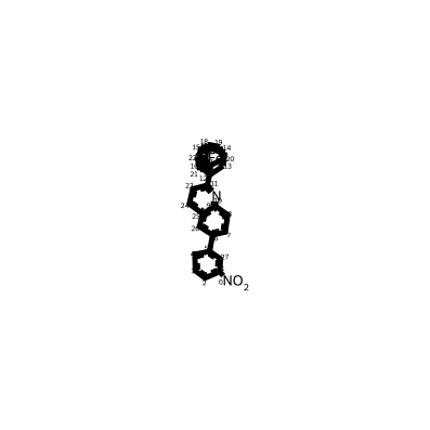 O=[N+]([O-])c1cccc(-c2ccc3nc([C]45[CH]6[CH]7[CH]8[CH]4[Fe]786549%10%11[CH]5[CH]4[CH]9[CH]%10[CH]5%11)ccc3c2)c1